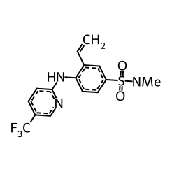 C=Cc1cc(S(=O)(=O)NC)ccc1Nc1ccc(C(F)(F)F)cn1